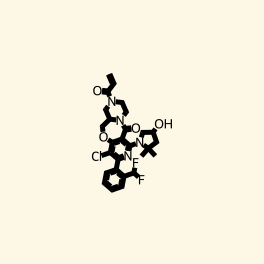 C=CC(=O)N1CCN2C(=O)c3c(N4CC(O)CC4(C)C)nc(-c4ccccc4C(F)F)c(Cl)c3OCC2C1